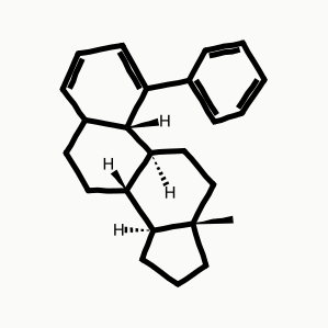 C[C@@]12CCC[C@H]1[C@@H]1CCC3C=CC=C(c4ccccc4)[C@@H]3[C@H]1CC2